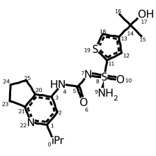 CC(C)c1cc(NC(=O)N=[S@@](N)(=O)c2cc(C(C)(C)O)cs2)c2c(n1)CCC2